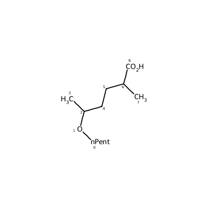 CCCCCOC(C)CCC(C)C(=O)O